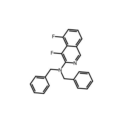 Fc1cccc2cnc(N(Cc3ccccc3)Cc3ccccc3)c(F)c12